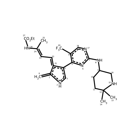 C=c1[nH]cc(-c2nc(NC3CCC(C)(C)NC3)ncc2C(F)(F)F)/c1=C/C=C(\C)NC(=O)OCC